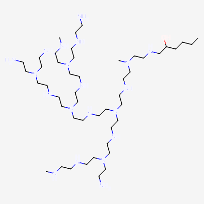 CCCCC(O)CNCCN(C)CCNCCN(CCNCCN(CCN)CCNCCNC)CCNCCN(CCNCCN(CCN)CCN)CCNCCN(CCNC)CCNCCN